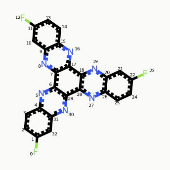 Fc1ccc2nc3c4nc5cc(F)ccc5nc4c4nc5cc(F)ccc5nc4c3nc2c1